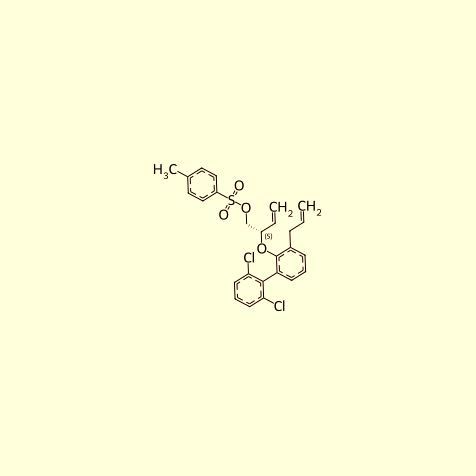 C=CCc1cccc(-c2c(Cl)cccc2Cl)c1O[C@@H](C=C)COS(=O)(=O)c1ccc(C)cc1